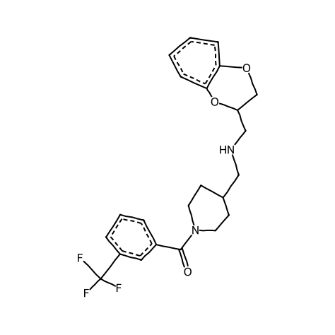 O=C(c1cccc(C(F)(F)F)c1)N1CCC(CNCC2COc3ccccc3O2)CC1